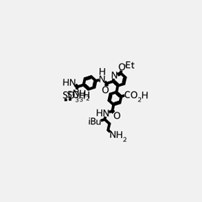 CCOc1ccc(-c2ccc(C(=O)NC(CCN)C(C)CC)cc2C(=O)O)c(C(=O)Nc2ccc(C(=N)N)cc2)n1.CS(=O)(=O)O.CS(=O)(=O)O